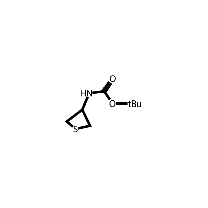 CC(C)(C)OC(=O)NC1CSC1